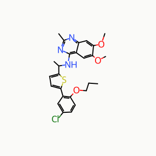 CCCOc1ccc(Cl)cc1-c1ccc(C(C)Nc2nc(C)nc3cc(OC)c(OC)cc23)s1